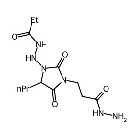 CCCC1C(=O)N(CCC(=O)NN)C(=O)N1NNC(=O)CC